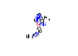 Cc1ccc(NC(=O)c2ccc3c(c2)CC[C@H]3N2CCN(C)CC2)cc1N(c1ncccn1)c1ncccn1